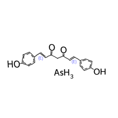 O=C(/C=C/c1ccc(O)cc1)CC(=O)/C=C/c1ccc(O)cc1.[AsH3]